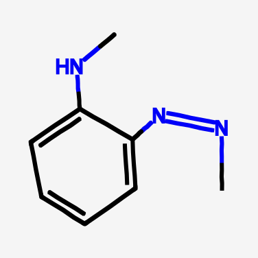 C/N=N\c1ccccc1NC